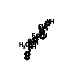 C=C(NCCc1ccc2c(c1)CCC2)C(=O)Nc1ccc(OC2=c3cc(CC)c(CCC4CCNCC4)cc3=NC=CC2)c(F)c1